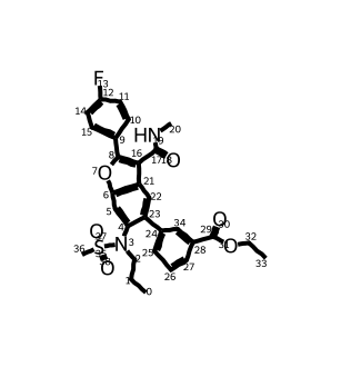 CCCN(c1cc2oc(-c3ccc(F)cc3)c(C(=O)NC)c2cc1-c1cccc(C(=O)OCC)c1)S(C)(=O)=O